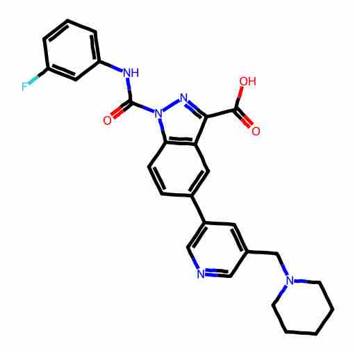 O=C(O)c1nn(C(=O)Nc2cccc(F)c2)c2ccc(-c3cncc(CN4CCCCC4)c3)cc12